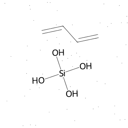 C=CC=C.O[Si](O)(O)O